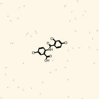 O=C(Nc1ccc(Cl)cc1C(=O)O)c1ccc(Cl)cc1Cl